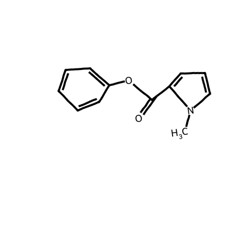 Cn1cccc1C(=O)Oc1ccccc1